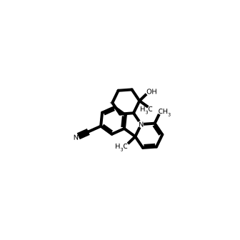 CC1=CC=CC(C)(c2cccc(C#N)c2)N1C1C[CH]CCC1(C)O